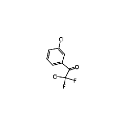 O=C(c1cccc(Cl)c1)C(F)(F)Cl